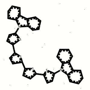 c1ccc2c(c1)c1ccccc1n2-c1ccc(-c2ccc(-c3ccc(-c4ccc(-n5c6ccccc6c6ccccc65)s4)s3)s2)s1